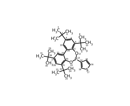 CC(C)(C)c1cc(C(C)(C)C)c2op(-c3ccsc3)oc3c(C(C)(C)C)cc(C(C)(C)C)cc3c2c1